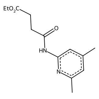 CCOC(=O)CCC(=O)Nc1cc(C)cc(C)n1